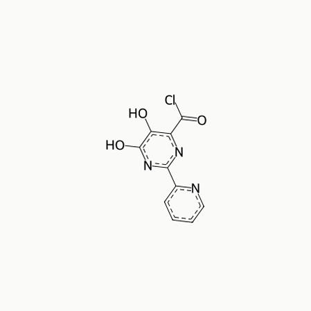 O=C(Cl)c1nc(-c2ccccn2)nc(O)c1O